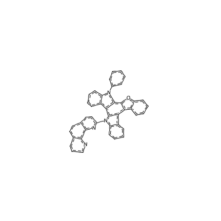 c1ccc(-n2c3ccccc3c3c2c2oc4ccccc4c2c2c4ccccc4n(-c4ccc5ccc6cccnc6c5n4)c23)cc1